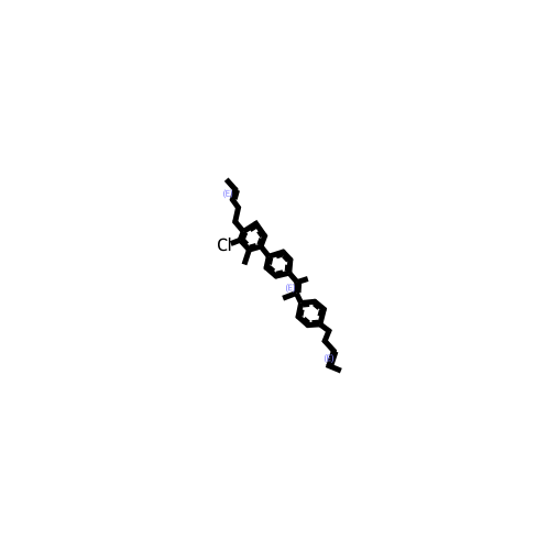 C/C=C/CCc1ccc(/C(C)=C(\C)c2ccc(-c3ccc(CC/C=C/C)c(Cl)c3C)cc2)cc1